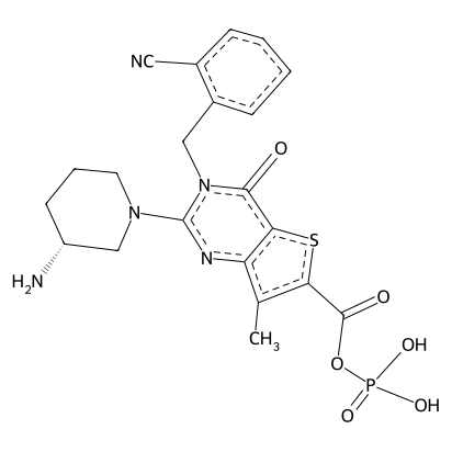 Cc1c(C(=O)OP(=O)(O)O)sc2c(=O)n(Cc3ccccc3C#N)c(N3CCC[C@@H](N)C3)nc12